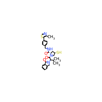 Cc1ncsc1-c1ccc(CNC(=O)[C@@H]2C[C@@H](S)CN2C(=O)C(C(C)C)N2Cc3ccccc3C2=O)cc1